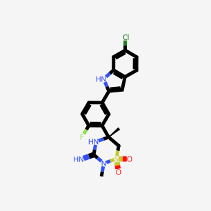 CN1C(=N)N[C@](C)(c2cc(-c3cc4ccc(Cl)cc4[nH]3)ccc2F)CS1(=O)=O